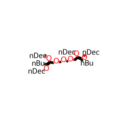 CCCCCCCCCCOC(CCCC)=C(COCOCOCC(OCCCCCCCCCC)=C(CCCC)OCCCCCCCCCC)OCCCCCCCCCC